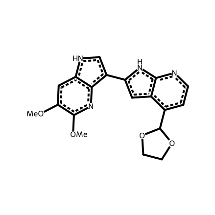 COc1cc2[nH]cc(-c3cc4c(C5OCCO5)ccnc4[nH]3)c2nc1OC